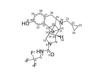 O=C(NCC(F)(F)F)N1C[C@H]2CC34CCC1C2C31CCN(CC2CC2)C4Cc2ccc(O)cc21